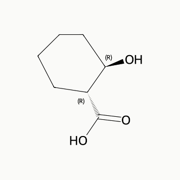 O=C(O)[C@@H]1CCCC[C@H]1O